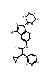 O=C(Nc1ccc2c(c1)c(I)nn2C1CCCCO1)C(c1ccccc1)C1CC1